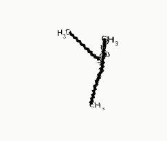 CCCCCCCCCCCCCCCCCCCC(COC(=O)CCOCCOC)SCCCCCCCCCCCCCCCCCC